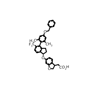 Cc1cc(OCc2ccccc2)cc(C)c1-c1c(C(F)(F)F)ccc2c1CC[C@H]2Oc1ccc2c(c1)OCC2CC(=O)O